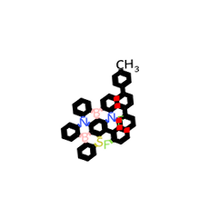 Cc1ccc(-c2ccc(-c3ccccc3N3c4ccccc4B4c5ccccc5N5c6ccccc6B6c7ccccc7Sc7c6c5c4c3c7-c3c(F)cccc3F)cc2)cc1